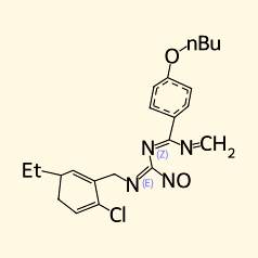 C=N/C(=N\C(N=O)=N/CC1=CC(CC)CC=C1Cl)c1ccc(OCCCC)cc1